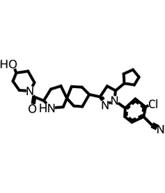 N#Cc1ccc(N2N=C(C3CCC4(CC3)CCC(C(=O)N3CCC(O)CC3)NC4)CC2C2CCCC2)cc1Cl